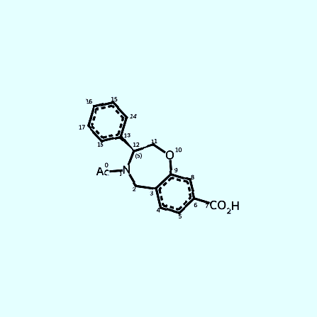 CC(=O)N1Cc2ccc(C(=O)O)cc2OC[C@@H]1c1ccccc1